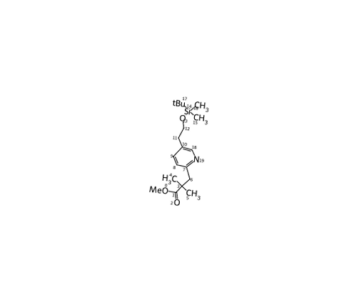 COC(=O)C(C)(C)Cc1ccc(CCO[Si](C)(C)C(C)(C)C)cn1